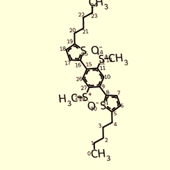 CCCCCc1ccc(-c2cc([S+](C)[O-])c(-c3ccc(CCCCC)s3)cc2[S+](C)[O-])s1